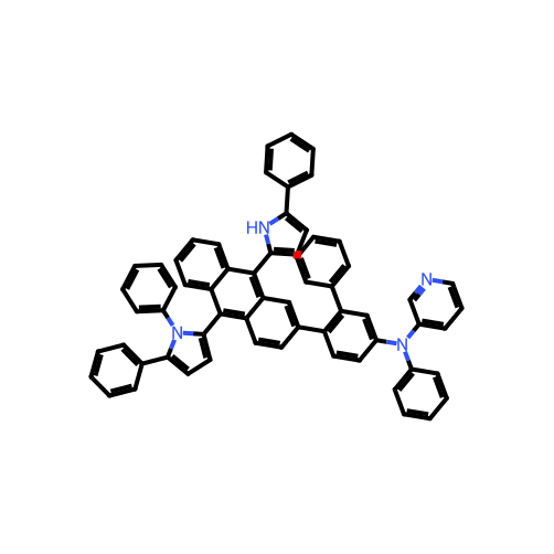 c1ccc(-c2ccc(-c3c4ccccc4c(-c4ccc(-c5ccccc5)n4-c4ccccc4)c4ccc(-c5ccc(N(c6ccccc6)c6cccnc6)cc5-c5ccccc5)cc34)[nH]2)cc1